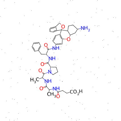 CC(NC(=O)CCC(=O)O)C(=O)NC(C)C(=O)N1CCCC1C(=O)NC(Cc1ccccc1)C(=O)Nc1ccc2c(c1)OC1CC(N)CCC1C21OCc2ccccc21